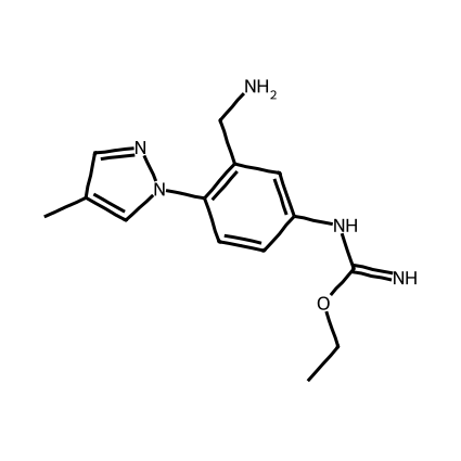 CCOC(=N)Nc1ccc(-n2cc(C)cn2)c(CN)c1